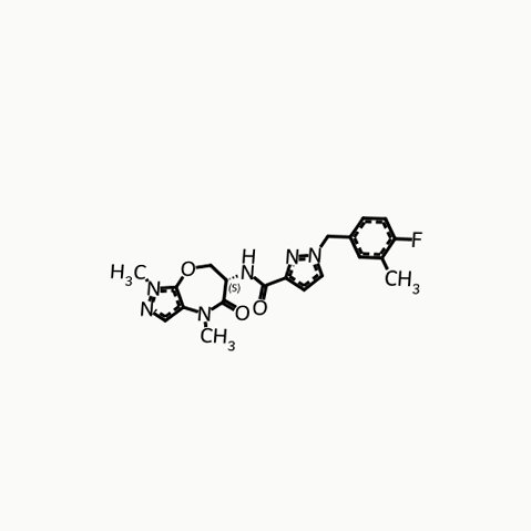 Cc1cc(Cn2ccc(C(=O)N[C@H]3COc4c(cnn4C)N(C)C3=O)n2)ccc1F